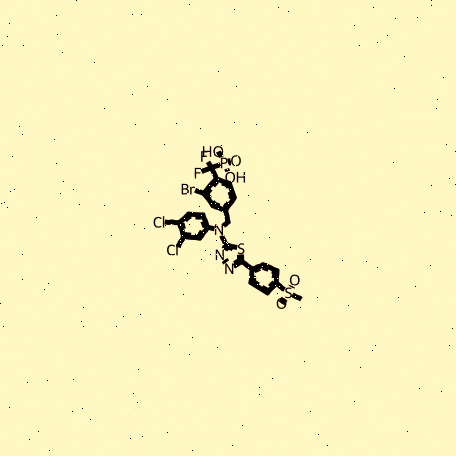 CS(=O)(=O)c1ccc(-c2nnc(N(Cc3ccc(C(F)(F)P(=O)(O)O)c(Br)c3)c3ccc(Cl)c(Cl)c3)s2)cc1